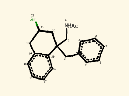 CC(=O)NCC1(Cc2ccccc2)CC(Br)Cc2ccccc21